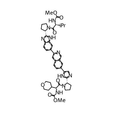 COC(=O)N[C@H](C(=O)N1CCC[C@H]1c1nc2ccc(-c3cc4ccc(-c5cnc([C@@H]6CCCN6C(=O)[C@@H](NC(=O)OC)C6CCOCC6)[nH]5)cc4cn3)cc2[nH]1)C(C)C